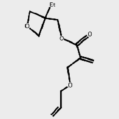 C=CCOCC(=C)C(=O)OCC1(CC)COC1